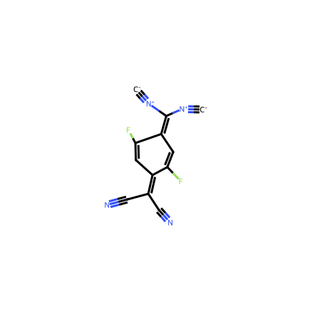 [C-]#[N+]C([N+]#[C-])=c1cc(F)c(=C(C#N)C#N)cc1F